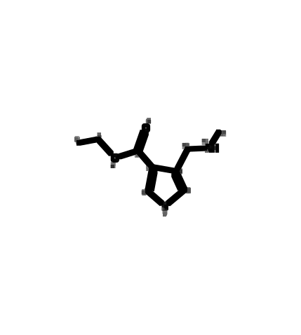 CCOC(=O)c1cscc1CNC